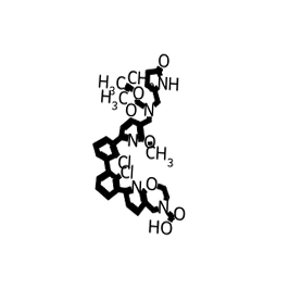 COc1nc(-c2cccc(-c3cccc(-c4ccc5c(n4)OCCN(C(=O)O)C5)c3Cl)c2Cl)ccc1CN(CC1CCC(=O)N1)C(=O)OC(C)(C)C